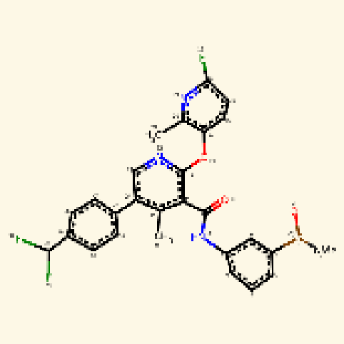 CN[S@+]([O-])c1cccc(NC(=O)c2c(Oc3ccc(F)nc3C)ncc(-c3ccc(C(F)F)cc3)c2C)c1